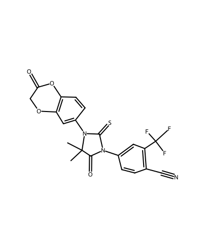 CC1(C)C(=O)N(c2ccc(C#N)c(C(F)(F)F)c2)C(=S)N1c1ccc2c(c1)OCC(=O)O2